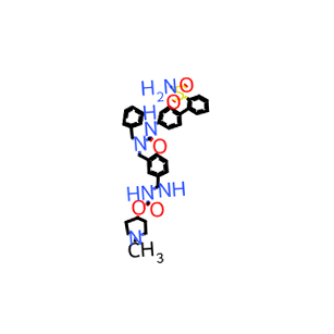 CN1CCC(OC(=O)NC(=N)c2cccc(CN(Cc3ccccc3)C(=O)Nc3ccc(-c4ccccc4S(N)(=O)=O)cc3)c2)CC1